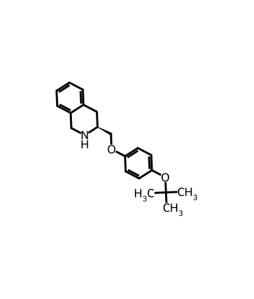 CC(C)(C)Oc1ccc(OC[C@@H]2Cc3ccccc3CN2)cc1